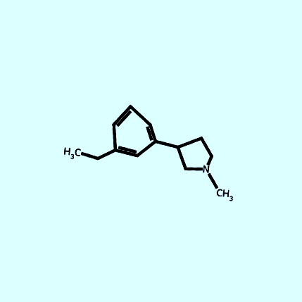 CCc1cccc(C2CCN(C)C2)c1